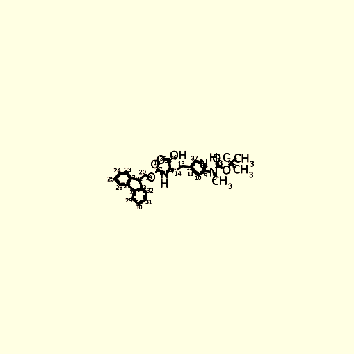 CN(C(=O)OC(C)(C)C)c1ccc(CC[C@H](NC(=O)OCC2c3ccccc3-c3ccccc32)C(=O)O)cn1